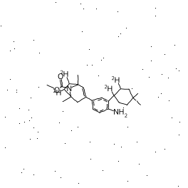 [2H]C1CC(C)(C)CCC1([2H])c1cc(C2=CC3(C)C([2H])C([2H])C(C)(C2)N3C(=O)OC)ccc1N